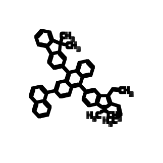 C=CC1=C(/C=C\C)S(C)(C)c2ccc(-c3c4ccccc4c(-c4ccc5c(c4)C(C)(C)c4ccccc4-5)c4cc(-c5cccc6ccccc56)ccc34)cc21